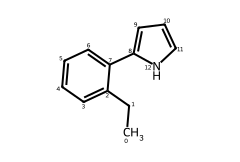 CCc1ccccc1-c1ccc[nH]1